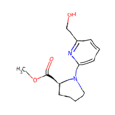 COC(=O)[C@@H]1CCCN1c1cccc(CO)n1